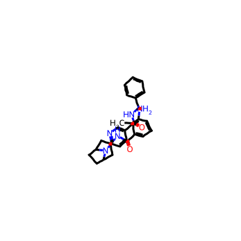 Cc1c(N)cccc1C(=O)NC1CC2CCC(C1)N2c1ccc(C(=O)NCc2ccccc2)cn1